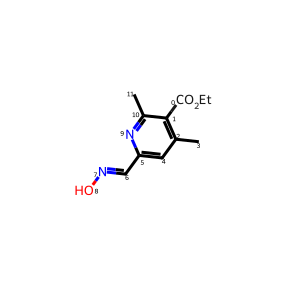 CCOC(=O)c1c(C)cc(/C=N/O)nc1C